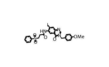 COc1ccc(Cn2cnc3cc(I)c(NC(=O)CCS(=O)(=O)c4ccccc4)cc3c2=O)cc1